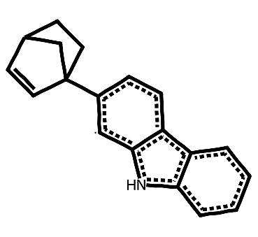 [c]1c(C23C=CC(CC2)C3)ccc2c1[nH]c1ccccc12